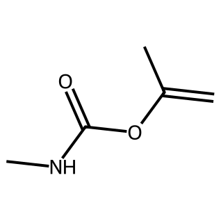 C=C(C)OC(=O)NC